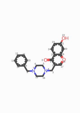 O=c1c(CN2CCN(Cc3ccccc3)CC2)coc2cc(O)ccc12